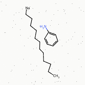 CCCCCCCCCCC[CH2][Na].Nc1ccccc1